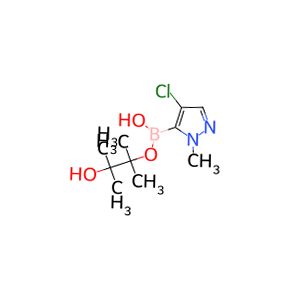 Cn1ncc(Cl)c1B(O)OC(C)(C)C(C)(C)O